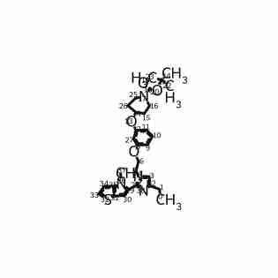 CCc1cn(CCOc2cccc(OC3CCN(C(=O)OC(C)(C)C)CC3)c2)c(-c2cc3sccc3n2C)n1